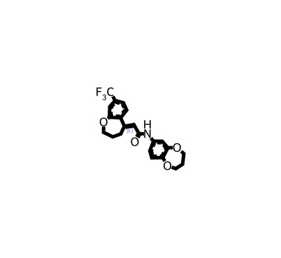 O=C(/C=C1\CCCOc2cc(C(F)(F)F)ccc21)Nc1ccc2c(c1)OCCCO2